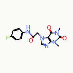 Cn1c(=O)c2c(ncn2CC(=O)Nc2ccc(F)cc2)n(C)c1=O